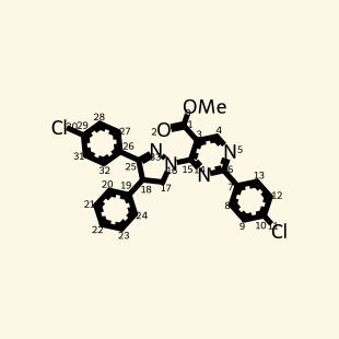 COC(=O)c1cnc(-c2ccc(Cl)cc2)nc1N1CC(c2ccccc2)C(c2ccc(Cl)cc2)=N1